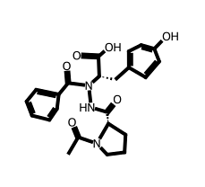 CC(=O)N1CCC[C@H]1C(=O)NN(C(=O)c1ccccc1)[C@@H](Cc1ccc(O)cc1)C(=O)O